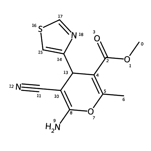 COC(=O)C1=C(C)OC(N)=C(C#N)C1c1cscn1